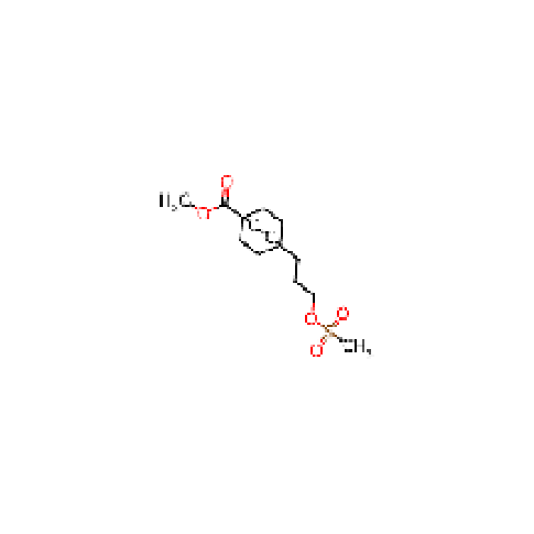 COC(=O)C12CCC(CCCOS(C)(=O)=O)(CC1)CC2